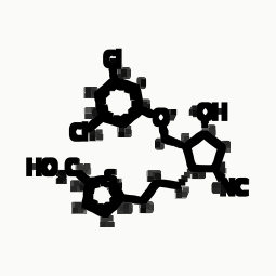 [C-]#[N+][C@@H]1C[C@@H](O)[C@H](COc2cc(Cl)cc(Cl)c2)[C@H]1CCCc1ccc(C(=O)O)s1